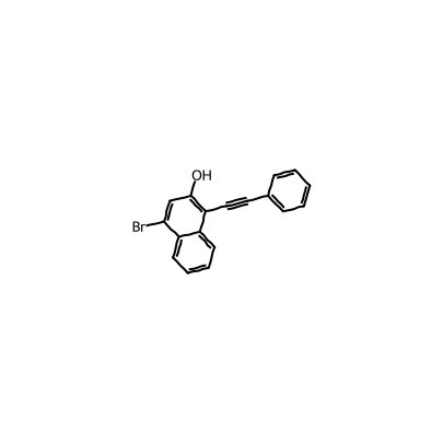 Oc1cc(Br)c2ccccc2c1C#Cc1ccccc1